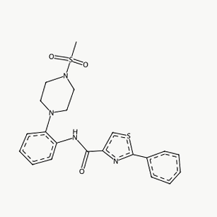 CS(=O)(=O)N1CCN(c2ccccc2NC(=O)c2csc(-c3ccccc3)n2)CC1